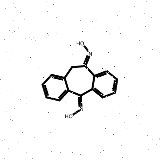 ON=C1Cc2ccccc2C(=NO)c2ccccc21